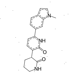 Cn1ccc2ccc(-c3ccc(C4CCCNC4=O)c(=O)[nH]3)cc21